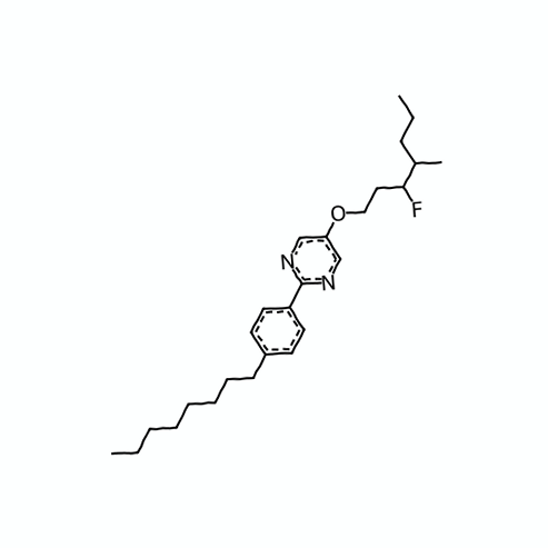 CCCCCCCCc1ccc(-c2ncc(OCCC(F)C(C)CCC)cn2)cc1